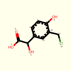 O=C(O)C(O)c1ccc(O)c(CCl)c1